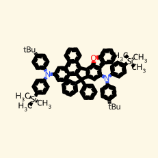 CC(C)(C)c1ccc(N(c2ccc([Si](C)(C)C)cc2)c2ccc3c4c(c5ccccc5c3c2)-c2c(cc(N(c3ccc(C(C)(C)C)cc3)c3ccc([Si](C)(C)C)cc3)c3c2oc2ccccc23)C4(c2ccccc2)c2ccccc2)cc1